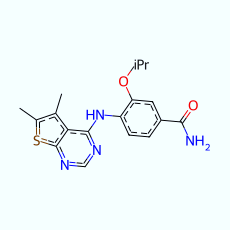 Cc1sc2ncnc(Nc3ccc(C(N)=O)cc3OC(C)C)c2c1C